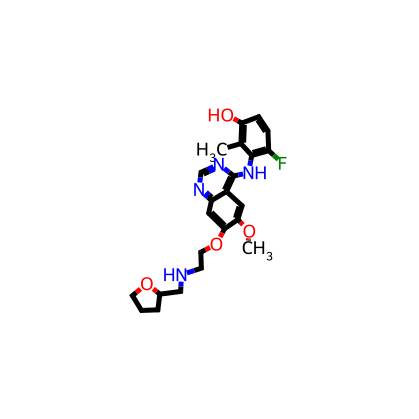 COc1cc2c(Nc3c(F)ccc(O)c3C)ncnc2cc1OCCNCC1CCCO1